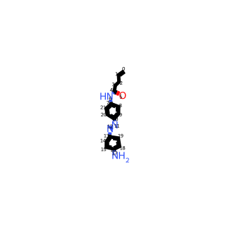 C=CCCC(=O)Nc1ccc(N=Nc2ccc(N)cc2)cc1